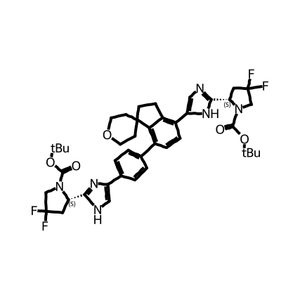 CC(C)(C)OC(=O)N1CC(F)(F)C[C@H]1c1nc(-c2ccc(-c3ccc(-c4cnc([C@@H]5CC(F)(F)CN5C(=O)OC(C)(C)C)[nH]4)c4c3C3(CCOCC3)CC4)cc2)c[nH]1